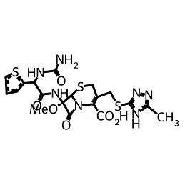 CO[C@]1(NC(=O)C(NC(N)=O)c2cccs2)C(=O)N2C(C(=O)O)=C(CSc3nnc(C)[nH]3)CSC21